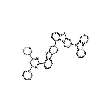 c1ccc(-c2nc(-c3ccccc3)nc(-c3cccc4c3oc3cc(-c5cccc6sc7cc(-n8c9ccccc9c9ccccc98)ccc7c56)ccc34)n2)cc1